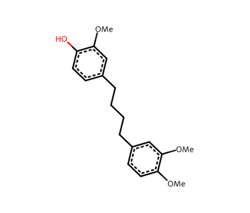 COc1cc(CCCCc2ccc(OC)c(OC)c2)ccc1O